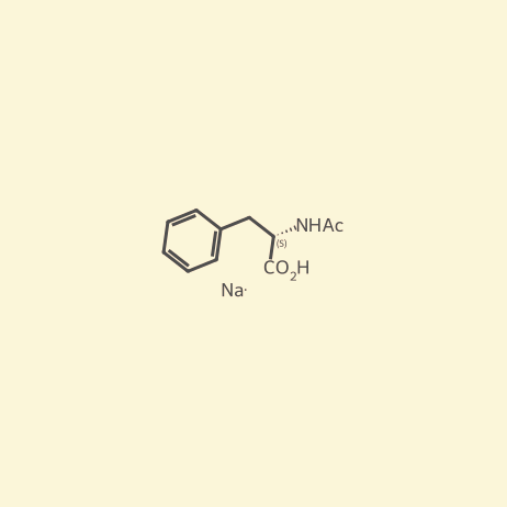 CC(=O)N[C@@H](Cc1ccccc1)C(=O)O.[Na]